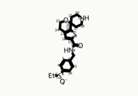 CC[S+]([O-])c1ccc(CNC(=O)c2cc3c(s2)C2(CCNCC2)OCC3)cc1